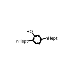 CCCCCCCc1ccc(CCCCCCC)c(O)c1